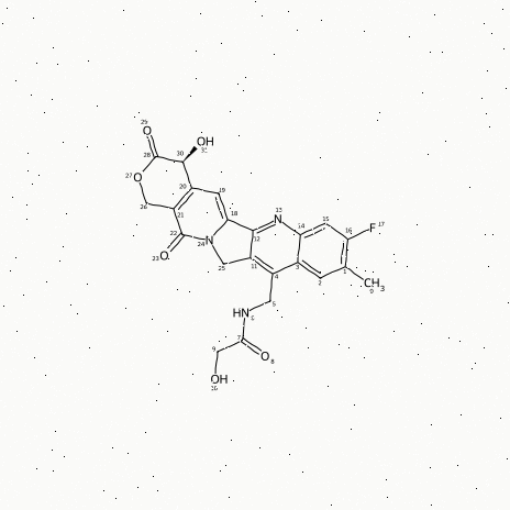 Cc1cc2c(CNC(=O)CO)c3c(nc2cc1F)-c1cc2c(c(=O)n1C3)COC(=O)[C@H]2O